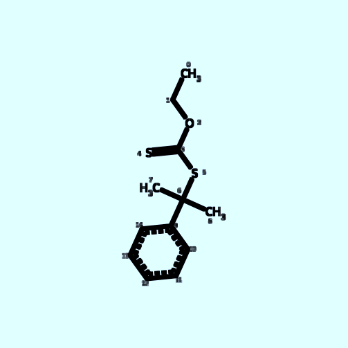 CCOC(=S)SC(C)(C)c1ccccc1